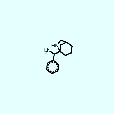 NC(c1ccccc1)C12CCCC(CN1)C2